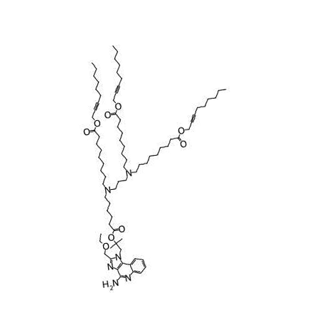 CCCCCCC#CCOC(=O)CCCCCCCCN(CCCCCCCCC(=O)OCC#CCCCCCC)CCCN(CCCCCCCCC(=O)OCC#CCCCCCC)CCCCCC(=O)OC(C)(C)Cn1c(COCC)nc2c(N)nc3ccccc3c21